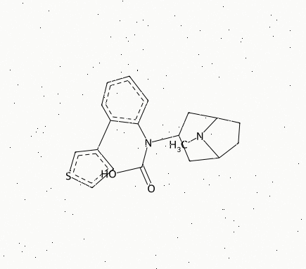 CN1C2CCC1CC(N(C(=O)O)c1ccccc1-c1ccsc1)C2